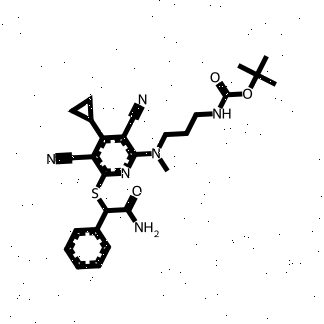 CN(CCCNC(=O)OC(C)(C)C)c1nc(SC(C(N)=O)c2ccccc2)c(C#N)c(C2CC2)c1C#N